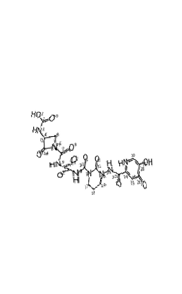 O=C(O)N[C@H]1CN(C(=O)NS(=O)(=O)NC(=O)N2CCCN(NC(=O)c3cc(=O)c(O)c[nH]3)C2=O)C1=O